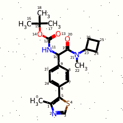 Cc1ncsc1-c1ccc(C(NC(=O)OC(C)(C)C)C(=O)N(C)C2CCC2)cc1